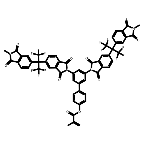 C=C(C)C(=O)Oc1ccc(-c2cc(N3C(=O)c4ccc(C(c5ccc6c(c5)C(=O)N(C)C6=O)(C(F)(F)F)C(F)(F)F)cc4C3=O)cc(N3C(=O)c4ccc(C(c5ccc6c(c5)C(=O)N(C)C6=O)(C(F)(F)F)C(F)(F)F)cc4C3=O)c2)cc1